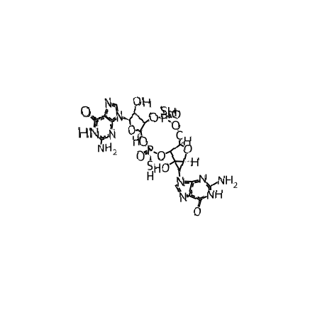 Nc1nc2c(ncn2C2[C@@H]3O[C@@H]4CO[P@](=O)(S)OC5C(O)[C@H](n6cnc7c(=O)[nH]c(N)nc76)O[C@@H]5O[P@](=O)(S)OC4C23O)c(=O)[nH]1